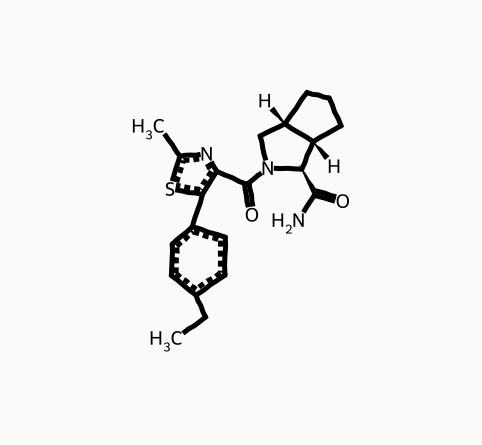 CCc1ccc(-c2sc(C)nc2C(=O)N2C[C@@H]3CCC[C@@H]3[C@H]2C(N)=O)cc1